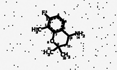 Cc1c(F)ccc2c1OC(C)(C)CC2N